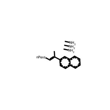 CCCCCC=C(C)c1ccc2ccccc2c1.CN.CN.CN